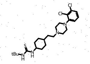 CC(C)(C)NC(=S)NC1CCC(CCN2CCN(c3cccc(Cl)c3Cl)CC2)CC1